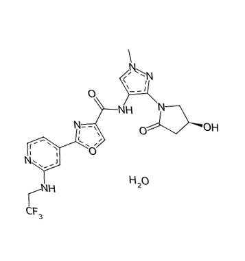 Cn1cc(NC(=O)c2coc(-c3ccnc(NCC(F)(F)F)c3)n2)c(N2C[C@@H](O)CC2=O)n1.O